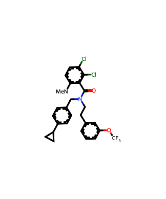 CNc1ccc(Cl)c(Cl)c1C(=O)N(CCc1cccc(OC(F)(F)F)c1)Cc1ccc(C2CC2)cc1